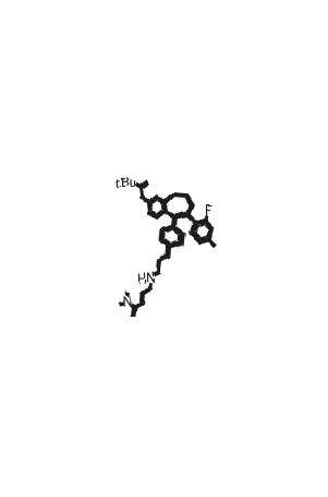 C=C(/C=C/CNCCCc1ccc(C2=C(c3ccc(C)cc3F)CCCc3cc(CC(=C)C(C)(C)C)ccc32)cc1)N(C)C